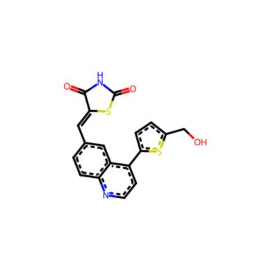 O=C1NC(=O)C(=Cc2ccc3nccc(-c4ccc(CO)s4)c3c2)S1